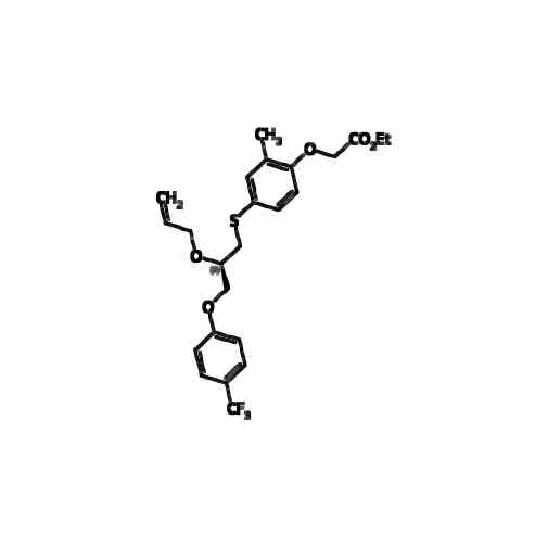 C=CCO[C@H](COc1ccc(C(F)(F)F)cc1)CSc1ccc(OCC(=O)OCC)c(C)c1